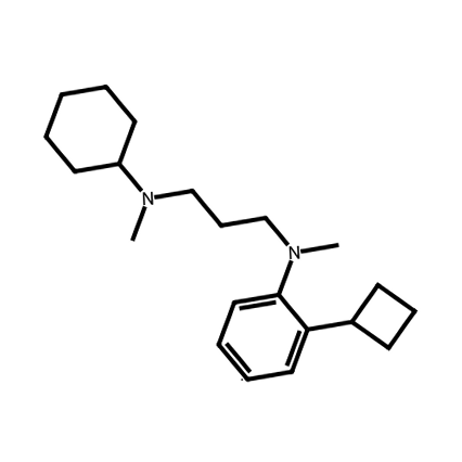 CN(CCCN(C)C1CCCCC1)c1cc[c]cc1C1CCC1